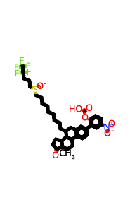 CC12CCC3c4ccc(-c5cc([N+](=O)[O-])ccc5OC(=O)O)cc4CC(CCCCCCCCC[S+]([O-])CCCC(F)(F)C(F)(F)F)C3C1CCC2=O